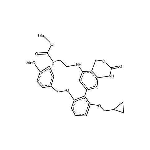 COc1ccc(COc2cccc(OCC3CC3)c2-c2cc(NCCNC(=O)OC(C)(C)C)c3c(n2)NC(=O)OC3)cc1